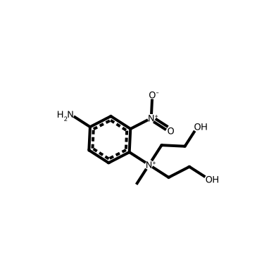 C[N+](CCO)(CCO)c1ccc(N)cc1[N+](=O)[O-]